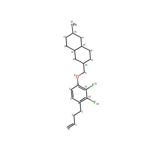 C=CCCc1ccc(OCC2CCC3CC(CCC)CCC3C2)c(F)c1F